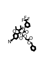 CC(=O)C1=C(C)N(c2cccc(C(F)(F)F)c2)C(=O)N(C(=O)OCC(=O)OCc2ccccc2)C1c1ccc(C#N)cc1